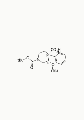 CCCCO[C@@H]1CN(C(=O)OC(C)(C)C)CC[C@@]1(C(=O)O)c1ccccn1